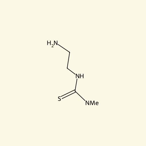 CNC(=S)NCCN